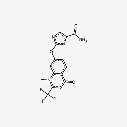 Cn1c(C(F)(F)F)cc(=O)c2ccc(Oc3ncc(C(N)=O)s3)cc21